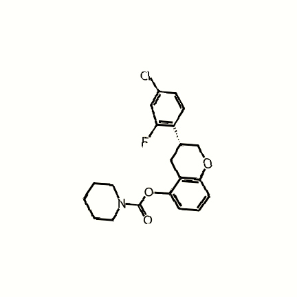 O=C(Oc1cccc2c1C[C@H](c1ccc(Cl)cc1F)CO2)N1CCCCC1